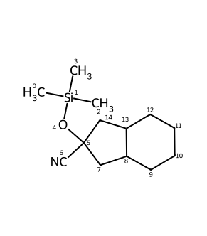 C[Si](C)(C)OC1(C#N)CC2CCCCC2C1